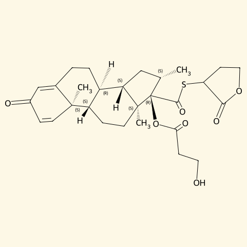 C[C@H]1C[C@H]2[C@@H]3CCC4=CC(=O)C=C[C@]4(C)[C@H]3CC[C@]2(C)[C@@]1(OC(=O)CCO)C(=O)SC1CCOC1=O